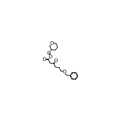 O=C(CCCOCc1ccccc1)CC(=O)OOC1CCCOC1